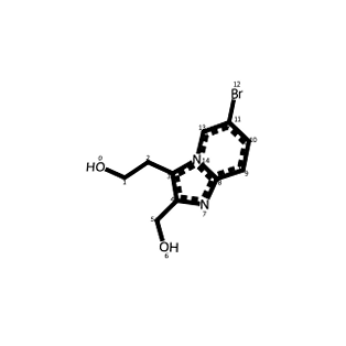 OCCc1c(CO)nc2ccc(Br)cn12